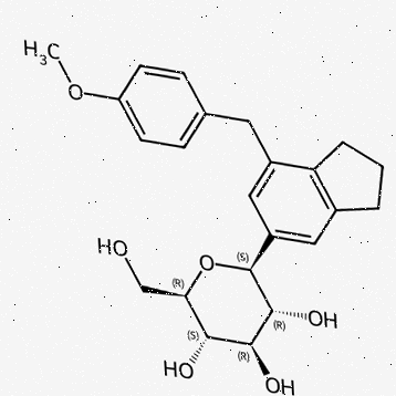 COc1ccc(Cc2cc([C@@H]3O[C@H](CO)[C@@H](O)[C@H](O)[C@H]3O)cc3c2CCC3)cc1